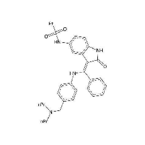 CCCN(CCC)Cc1ccc(NC(=C2C(=O)Nc3ccc(NS(=O)(=O)CC)cc32)c2ccccc2)cc1